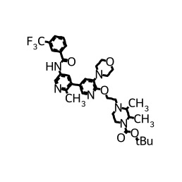 Cc1ncc(NC(=O)c2cccc(C(F)(F)F)c2)cc1-c1cnc(OCCN2CCN(C(=O)OC(C)(C)C)C(C)C2C)c(N2CCOCC2)c1